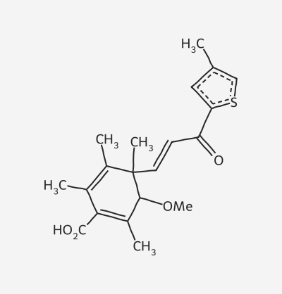 COC1C(C)=C(C(=O)O)C(C)=C(C)C1(C)C=CC(=O)c1cc(C)cs1